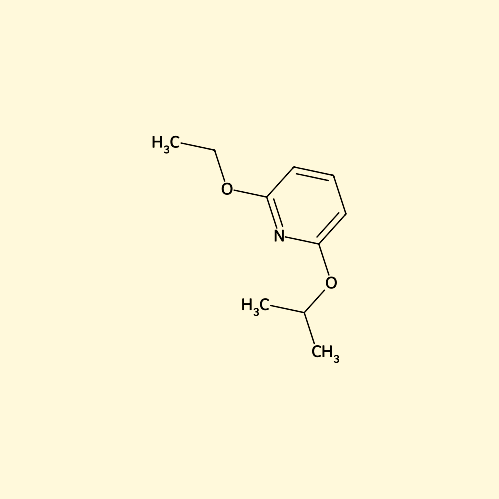 CCOc1cccc(OC(C)C)n1